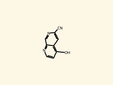 N#Cc1cc2c(O)ccnc2cn1